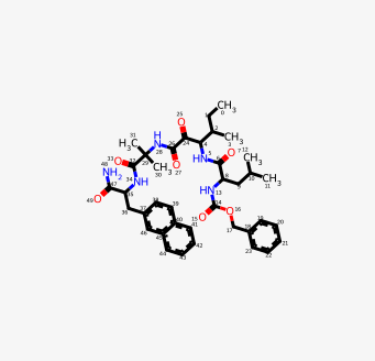 CCC(C)C(NC(=O)C(CC(C)C)NC(=O)OCc1ccccc1)C(=O)C(=O)NC(C)(C)C(=O)NC(Cc1ccc2ccccc2c1)C(N)=O